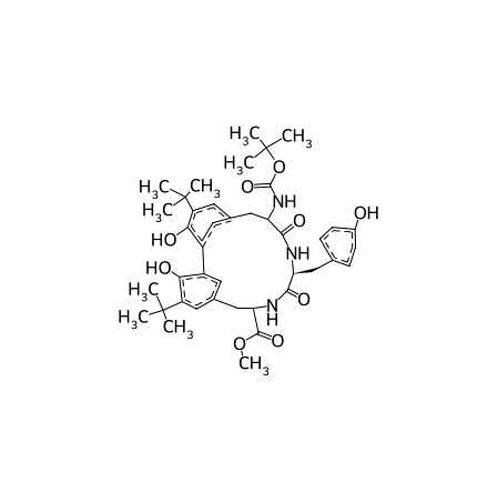 COC(=O)C1Cc2cc(c(O)c(C(C)(C)C)c2)-c2cc(cc(C(C)(C)C)c2O)CC(NC(=O)OC(C)(C)C)C(=O)N[C@@H](Cc2ccc(O)cc2)C(=O)N1